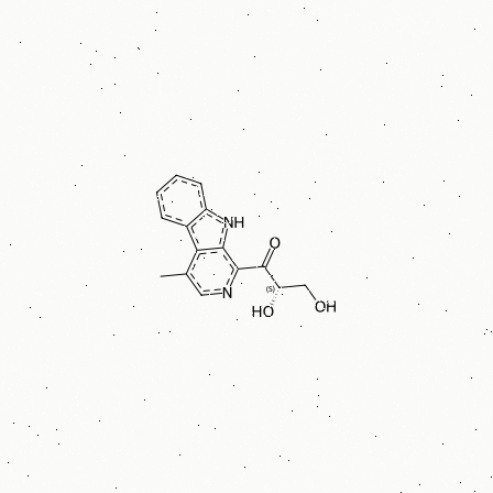 Cc1cnc(C(=O)[C@@H](O)CO)c2[nH]c3ccccc3c12